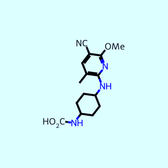 COc1nc(NC2CCC(NC(=O)O)CC2)c(C)cc1C#N